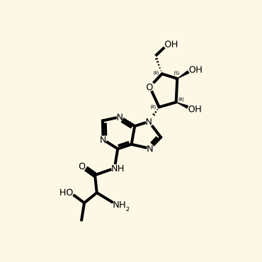 CC(O)C(N)C(=O)Nc1ncnc2c1ncn2[C@@H]1O[C@H](CO)[C@@H](O)[C@H]1O